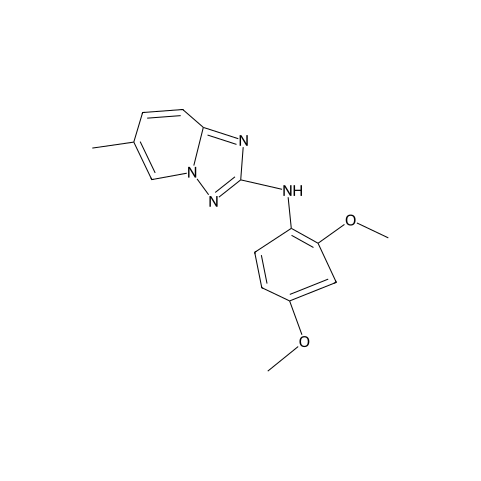 COc1ccc(Nc2nc3ccc(C)cn3n2)c(OC)c1